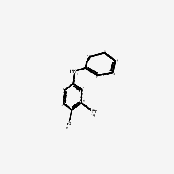 CCc1ccc(NC2=CC=CCC2)cc1C(C)C